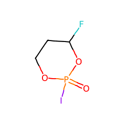 O=P1(I)OCCC(F)O1